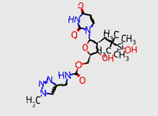 Cn1cc(CNC(=O)OC[C@H]2O[C@@H](n3ccc(=O)[nH]c3=O)[C@@H](CC(C)(C)[Si](C)(C)O)C2O)nn1